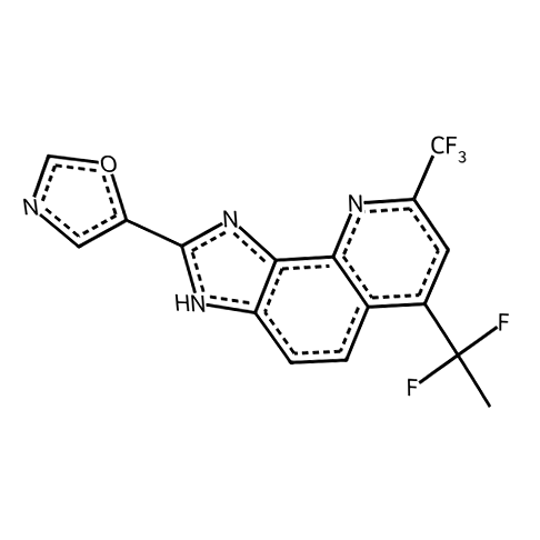 CC(F)(F)c1cc(C(F)(F)F)nc2c1ccc1[nH]c(-c3cnco3)nc12